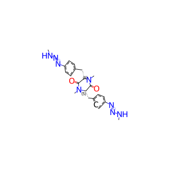 CN/N=N/c1ccc(C[C@H]2C(=O)N(C)[C@@H](Cc3ccc(/N=N/NC)cc3)C(=O)N2C)cc1